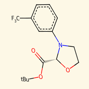 CC(C)(C)OC(=O)[C@H]1OCCN1c1cccc(C(F)(F)F)c1